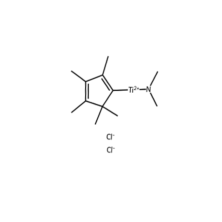 CC1=C(C)C(C)(C)[C]([Ti+2][N](C)C)=C1C.[Cl-].[Cl-]